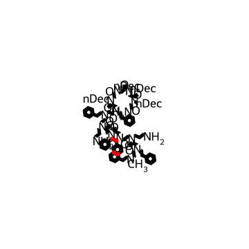 CCCCCCCCCCN(CC(N)=O)C(=O)CN(CCCCCCCCCC)C(=O)CN(CCCCCCCCCC)C(=O)CN(CCCCCCCCCC)C(=O)CN(CCc1ccccc1)C(=O)CN(CCc1ccccc1)C(=O)CN(CCCN)C(=O)CN(CCc1ccccc1)C(=O)CN(CCc1ccccc1)C(=O)CN(CCCN)C(=O)CN(CCc1ccccc1)C(=O)CN(C)CCc1ccccc1